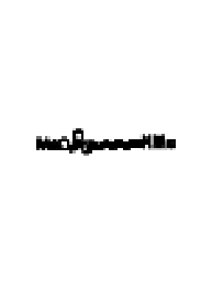 CNCCCCCCCCOC(=O)COC